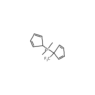 [CH3][Zr]([CH3])([CH]1C=CC=C1)[C]1(C(F)(F)F)C=CC=C1